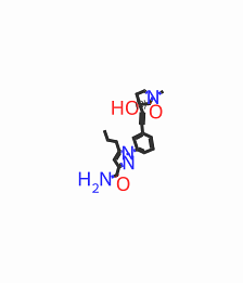 CCCc1cc(C(N)=O)nn1-c1cccc(C#C[C@]2(O)CCN(C)C2=O)c1